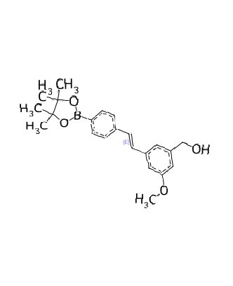 COc1cc(/C=C/c2ccc(B3OC(C)(C)C(C)(C)O3)cc2)cc(CO)c1